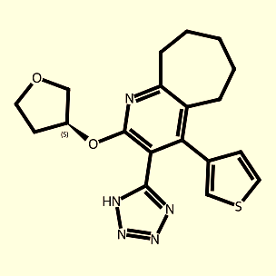 c1cc(-c2c3c(nc(O[C@H]4CCOC4)c2-c2nnn[nH]2)CCCCC3)cs1